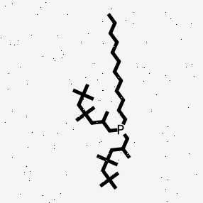 CCCCCCCCCCCCP(CC(C)CC(C)(C)CC(C)(C)C)CC(C)CC(C)(C)CC(C)(C)C